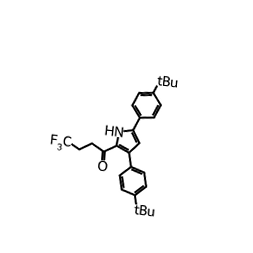 CC(C)(C)c1ccc(-c2cc(-c3ccc(C(C)(C)C)cc3)c(C(=O)CCC(F)(F)F)[nH]2)cc1